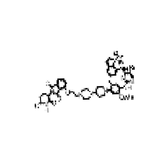 COc1cc(N2CCC(N3CCN(CCOc4cccc5c4C(=O)N(C4CCC(=O)NC4=O)C5=O)CC3)CC2)c(C)cc1Nc1ncc(Br)c(Nc2cccc3ccn(S(C)(=O)=O)c23)n1